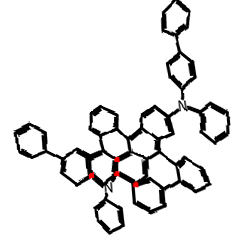 C1=CC(N(c2ccccc2)c2ccc3c(-c4ccccc4-c4ccccc4)c4cc(N(c5ccccc5)c5ccc(-c6ccccc6)cc5)ccc4c(-c4ccccc4-c4ccccc4)c3c2)CC=C1c1ccccc1